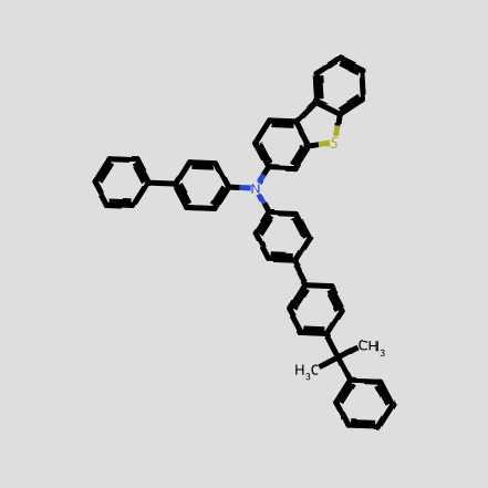 CC(C)(c1ccccc1)c1ccc(-c2ccc(N(c3ccc(-c4ccccc4)cc3)c3ccc4c(c3)sc3ccccc34)cc2)cc1